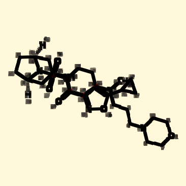 CN(CCCN1CCOCC1)C1CCN(S(=O)(=O)N2[C@@H]3CC[C@H]2C[C@@H](NC(=O)c2cc(C4CC4)on2)C3)CC1